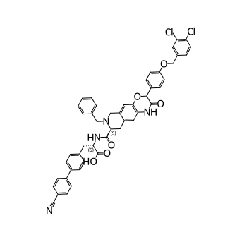 N#Cc1ccc(-c2ccc(C[C@H](NC(=O)[C@@H]3Cc4cc5c(cc4CN3Cc3ccccc3)OC(c3ccc(OCc4ccc(Cl)c(Cl)c4)cc3)C(=O)N5)C(=O)O)cc2)cc1